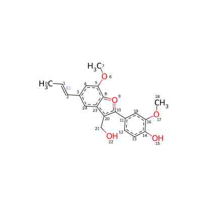 C/C=C/c1cc(OC)c2oc(-c3ccc(O)c(OC)c3)c(CO)c2c1